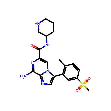 Cc1ccc(S(C)(=O)=O)cc1-c1cnc2c(N)nc(C(=O)NC3CCCNC3)cn12